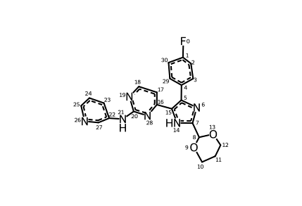 Fc1ccc(-c2nc(C3OCCCO3)[nH]c2-c2ccnc(Nc3cccnc3)n2)cc1